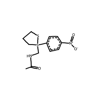 CC(=O)NCS1(c2ccc([N+](=O)[O-])cc2)CCCS1